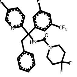 O=C(NC(Cc1ccccc1)(c1cc(F)cc(C(F)(F)F)c1)c1ccc(Cl)cn1)N1CCC(F)(F)CC1